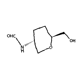 O=CN[C@@H]1CC[C@@H](CO)OC1